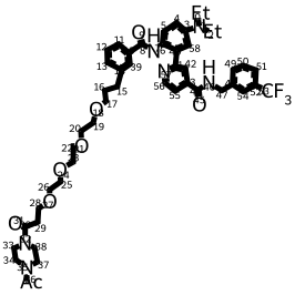 CCN(CC)c1ccc(NC(=O)c2cccc(CCCOCCOCCOCCOCCC(=O)N3CCN(C(C)=O)CC3)c2)c(-c2cc(C(=O)NCc3cccc(C(F)(F)F)c3)ccn2)c1